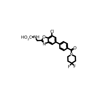 O=C(O)NCc1nc2cc(-c3ccc(C(=O)N4CCC(F)(F)CC4)cc3)cc(Cl)c2o1